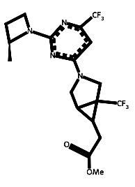 COC(=O)CC1C2CN(c3cc(C(F)(F)F)nc(N4CC[C@@H]4C)n3)CC12C(F)(F)F